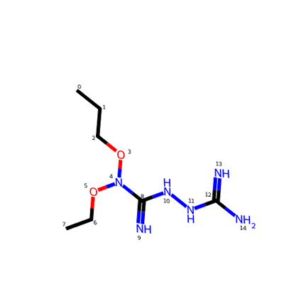 CCCON(OCC)C(=N)NNC(=N)N